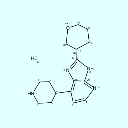 Cl.c1cc(C2CCNCC2)c2nc([C@H]3CCCOC3)[nH]c2n1